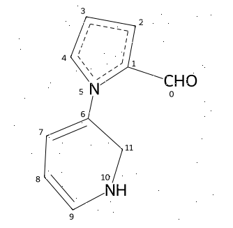 O=Cc1cccn1C1=CC=CNC1